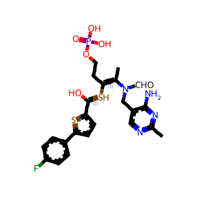 C/C(=C(CCOP(=O)(O)O)/[SH]=C(\O)c1ccc(-c2ccc(F)cc2)s1)N(C=O)Cc1cnc(C)nc1N